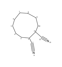 N#CC1CCCCCCCCC1C#N